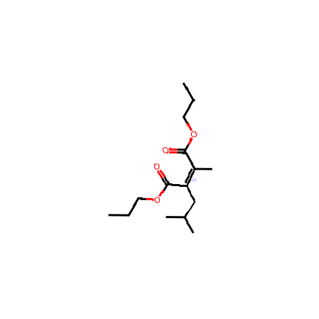 CCCOC(=O)/C(C)=C(/CC(C)C)C(=O)OCCC